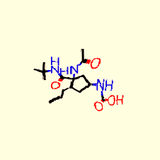 C=CC[C@@H]1C[C@H](NC(=O)O)C[C@@]1(NC(C)=O)C(=O)NC(C)(C)C